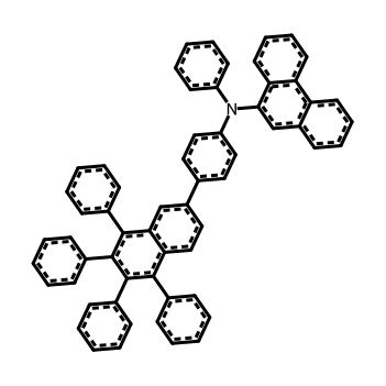 c1ccc(-c2c(-c3ccccc3)c(-c3ccccc3)c3cc(-c4ccc(N(c5ccccc5)c5cc6ccccc6c6ccccc56)cc4)ccc3c2-c2ccccc2)cc1